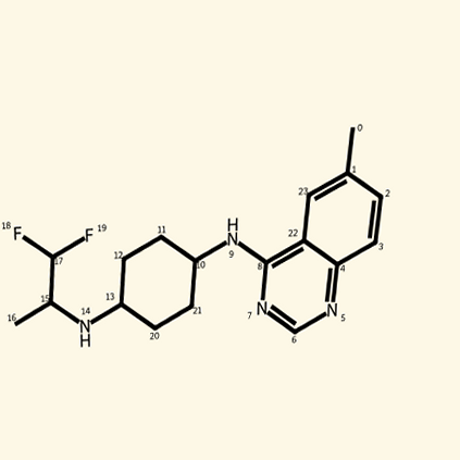 Cc1ccc2ncnc(NC3CCC(NC(C)C(F)F)CC3)c2c1